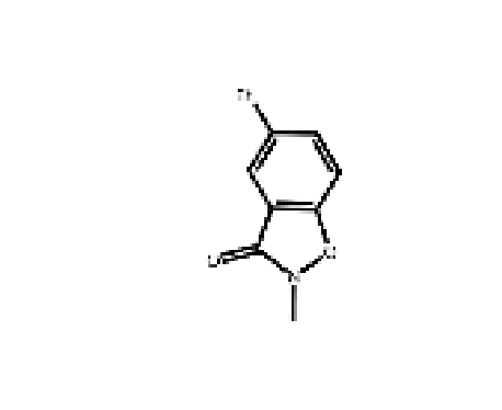 CCc1ccc2on(C)c(=O)c2c1